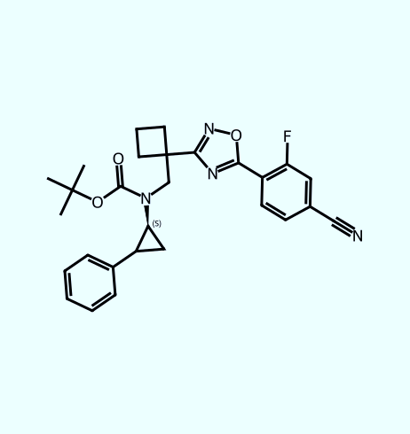 CC(C)(C)OC(=O)N(CC1(c2noc(-c3ccc(C#N)cc3F)n2)CCC1)[C@H]1CC1c1ccccc1